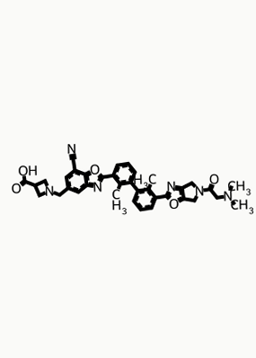 Cc1c(-c2nc3c(o2)CN(C(=O)CN(C)C)C3)cccc1-c1cccc(-c2nc3cc(CN4CC(C(=O)O)C4)cc(C#N)c3o2)c1C